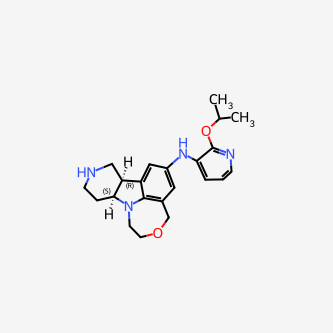 CC(C)Oc1ncccc1Nc1cc2c3c(c1)[C@@H]1CNCC[C@@H]1N3CCOC2